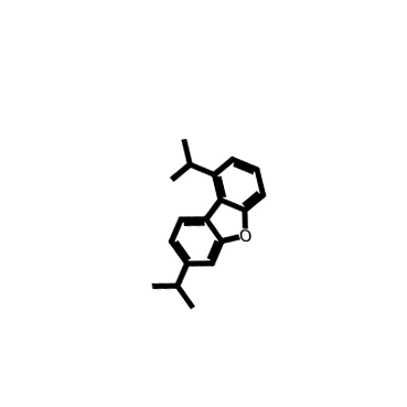 CC(C)c1ccc2c(c1)oc1cccc(C(C)C)c12